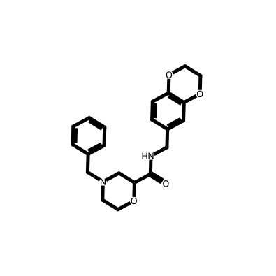 O=C(NCc1ccc2c(c1)OCCO2)C1CN(Cc2ccccc2)CCO1